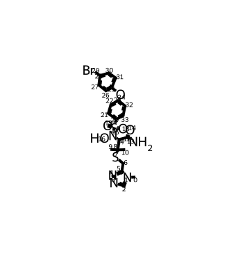 Cn1cnnc1CSC(C)(C)[C@H](C(N)=O)N(O)S(=O)(=O)c1ccc(Oc2ccc(Br)cc2)cc1